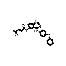 CC(=O)/C=C/C(=O)Nc1ccc2ncnc(Nc3ccc(Oc4ccccc4)cc3)c2c1